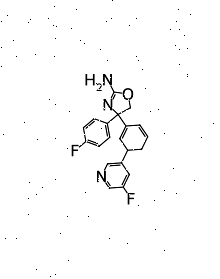 NC1=NC(C2=CC(c3cncc(F)c3)CC=C2)(c2ccc(F)cc2)CO1